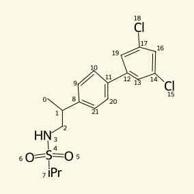 CC(CNS(=O)(=O)C(C)C)c1ccc(-c2cc(Cl)cc(Cl)c2)cc1